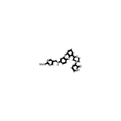 CNc1ncc(CNc2ccc3c(c2)Sc2cccc(C4CN(c5ccc[nH]c5=O)CCO4)c2O3)cn1